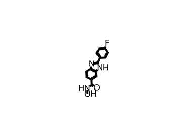 O=C(NO)c1ccc2nc(-c3ccc(F)cc3)[nH]c2c1